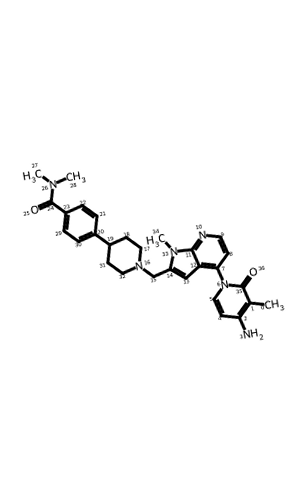 Cc1c(N)ccn(-c2ccnc3c2cc(CN2CCC(c4ccc(C(=O)N(C)C)cc4)CC2)n3C)c1=O